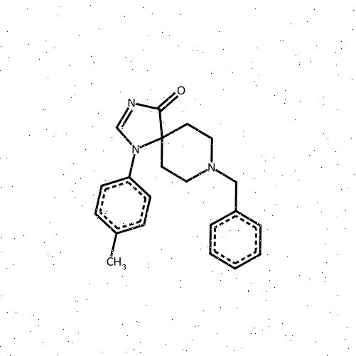 Cc1ccc(N2C=NC(=O)C23CCN(Cc2ccccc2)CC3)cc1